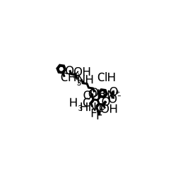 CC1=C(C(=O)O)C(c2cc([N+](=O)[O-])ccc2OCCCCNC[C@H](O)COc2ccccc2C)C(C(=O)O)=C(C(F)(F)F)N1.Cl